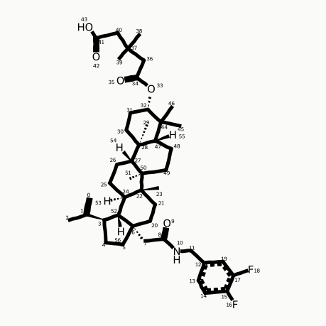 C=C(C)[C@@H]1CC[C@]2(CC(=O)NCc3ccc(F)c(F)c3)CC[C@]3(C)[C@H](CC[C@@H]4[C@@]5(C)CC[C@H](OC(=O)CC(C)(C)CC(=O)O)C(C)(C)[C@@H]5CC[C@]43C)[C@@H]12